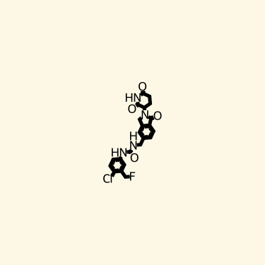 O=C1CCC(N2Cc3cc(CNC(=O)Nc4ccc(Cl)c(CF)c4)ccc3C2=O)C(=O)N1